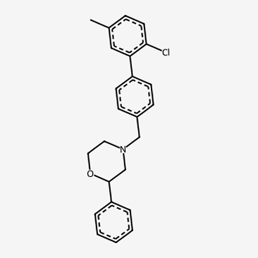 Cc1ccc(Cl)c(-c2ccc(CN3CCOC(c4ccccc4)C3)cc2)c1